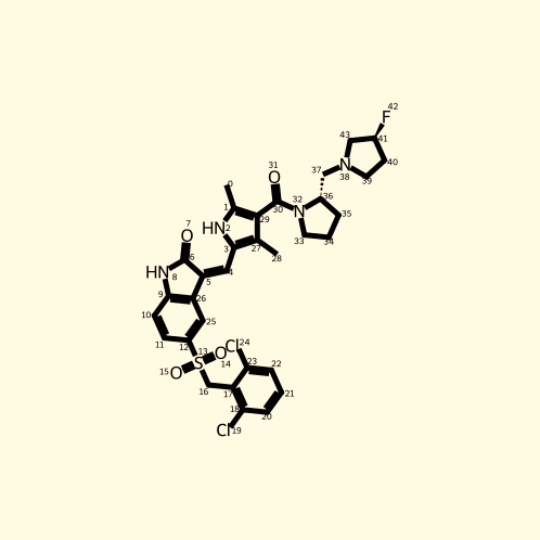 Cc1[nH]c(/C=C2\C(=O)Nc3ccc(S(=O)(=O)Cc4c(Cl)cccc4Cl)cc32)c(C)c1C(=O)N1CCC[C@H]1CN1CC[C@H](F)C1